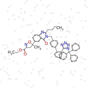 CCCCc1nc2ccc(C3(C)CC(C(=O)OCC)=NO3)cc2c(=O)n1Cc1ccc(-c2ccccc2-c2nnnn2C(c2ccccc2)(c2ccccc2)c2ccccc2)cc1